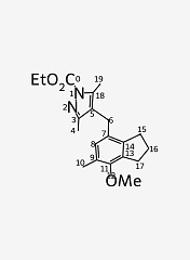 CCOC(=O)n1nc(C)c(Cc2cc(C)c(OC)c3c2CCC3)c1C